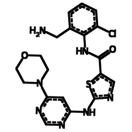 NCc1cccc(Cl)c1NC(=O)c1cnc(Nc2cc(N3CCOCC3)ncn2)s1